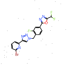 Fc1cc(-c2nnc(C(F)F)o2)ccc1Cn1cc(-c2cccc(Br)n2)nn1